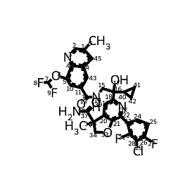 Cc1cnc2c(OC(F)F)cc(C(=O)NCC(O)(c3cc4c(c(-c5ccc(F)c(Cl)c5F)n3)OC[C@]4(C)C(N)=O)C3CC3)cc2c1